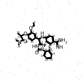 CCOc1cc(C(Nc2ccc(C(=N)N)cc2)c2nn(-c3ccccc3F)c(=O)[nH]2)ccc1OC(C)C(=O)N(C)C